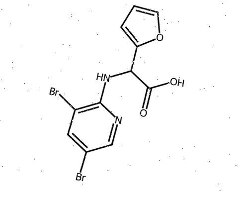 O=C(O)C(Nc1ncc(Br)cc1Br)c1ccco1